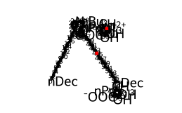 CCCCCCCCCCCCCCCCCCCCCCCCCCCCCCc1cccc(N=C(CCCC)C(CCCCC)=Nc2cccc(CCCCCCCCCCCCCCCCCCCCCCCCCCCCCC)c2)c1.CCCc1c(C)cc(O)c(O)c1C(=O)[O-].CCCc1c(C)cc(O)c(O)c1C(=O)[O-].[Ni+2]